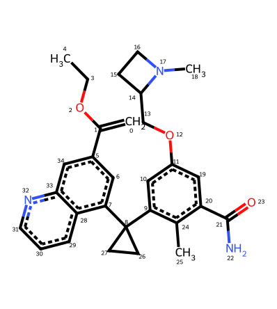 C=C(OCC)c1cc(C2(c3cc(OCC4CCN4C)cc(C(N)=O)c3C)CC2)c2cccnc2c1